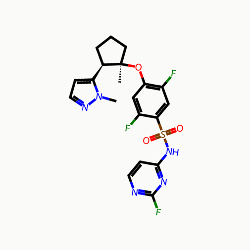 Cn1nccc1[C@H]1CCC[C@@]1(C)Oc1cc(F)c(S(=O)(=O)Nc2ccnc(F)n2)cc1F